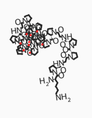 NCCCC[C@H](N)C(=O)N1CCC[C@H]1C(=O)NCC(=O)N1CCC[C@H]1C(=O)N1CCC[C@H]1C(=O)NCC(=O)N1CCC[C@H]1C(=O)N1CCC[C@H]1C(=O)NCC(=O)N1CCC[C@H]1C(=O)N1CCC[C@H]1C(=O)NCC(=O)N1CCC[C@H]1C(=O)N1CCC[C@H]1C(=O)NCC(=O)N1CCC[C@H]1C(=O)N1CCC[C@H]1C(=O)NCC(=O)N1CCC[C@H]1C(=O)N1CCC[C@H]1C(=O)NCC(=O)O